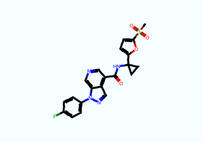 CS(=O)(=O)c1ccc(C2(NC(=O)c3cncc4c3cnn4-c3ccc(F)cc3)CC2)o1